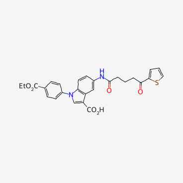 CCOC(=O)c1ccc(-n2cc(C(=O)O)c3cc(NC(=O)CCCC(=O)c4cccs4)ccc32)cc1